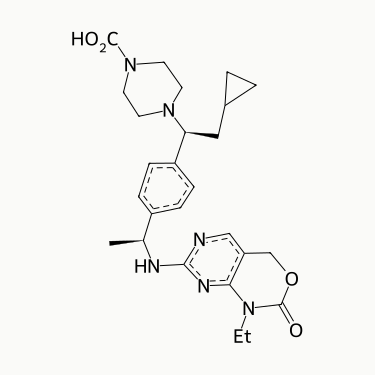 CCN1C(=O)OCc2cnc(N[C@@H](C)c3ccc([C@H](CC4CC4)N4CCN(C(=O)O)CC4)cc3)nc21